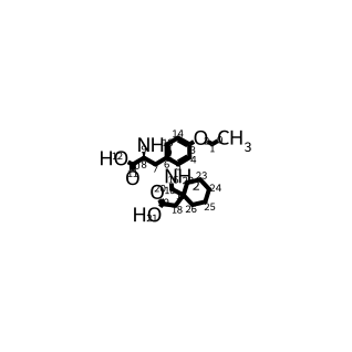 CCOc1ccc(C[C@H](N)C(=O)O)cc1.NCC1(CC(=O)O)CCCCC1